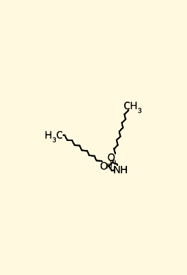 CCCCCCCCCCCCO[C@@H]1CNC[C@H]1OCCCCCCCCCCCC